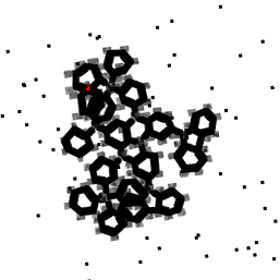 c1ccc(N(c2ccccc2)c2cc3c4c(c2)N(c2cccc([Si](c5ccccc5)(c5ccccc5)c5ccccc5)c2)c2cc(-n5c6ccccc6c6ccccc65)ccc2B4c2cc(-n4c5ccccc5c5ccccc54)ccc2N3c2cccc([Si](c3ccccc3)(c3ccccc3)c3ccccc3)c2)cc1